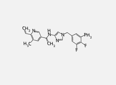 C=Cc1ncc(C(=C)Nc2cn(Cc3cc(F)c(F)c(P)c3)cn2)cc1C